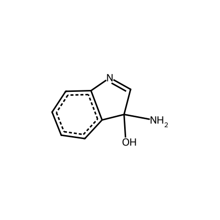 NC1(O)C=Nc2ccccc21